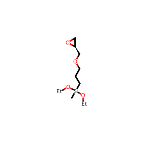 CCO[Si](C)(CCCOC[C@@H]1CO1)OCC